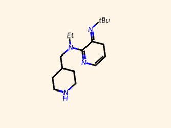 CCN(CC1CCNCC1)C1=NC=CCC1=NC(C)(C)C